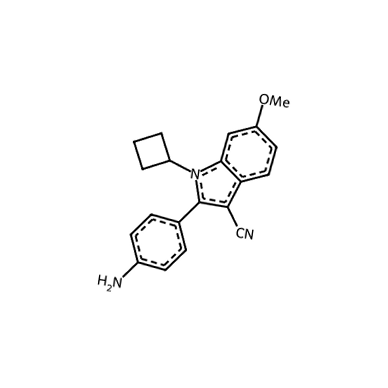 COc1ccc2c(C#N)c(-c3ccc(N)cc3)n(C3CCC3)c2c1